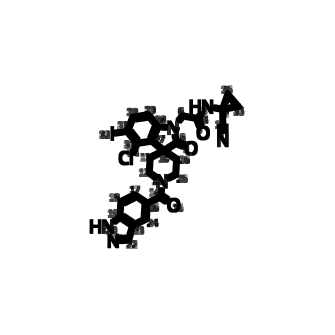 N#CC1(NC(=O)CN2C(=O)C3(CCN(C(=O)c4ccc5[nH]ncc5c4)CC3)c3c2ccc(I)c3Cl)CC1